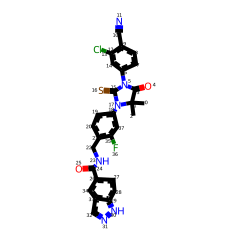 CC1(C)C(=O)N(c2ccc(C#N)c(Cl)c2)C(=S)N1c1ccc(CNC(=O)c2ccc3[nH]ncc3c2)c(F)c1